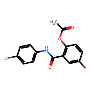 CC(=O)Oc1ccc(I)cc1C(=O)Nc1ccc(Cl)cc1